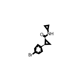 O=C(NC1CC1)[C@@H]1C[C@H]1c1ccc(Br)cc1